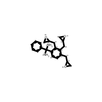 NC(N)(c1ccccc1)c1ccc(CC2CO2)c(CC2CO2)c1CC1CO1